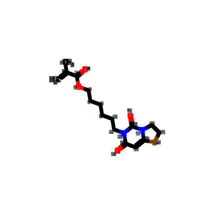 C=C(C)C(=O)OCCCCCCn1c(=O)cc2n(c1=O)CCS2